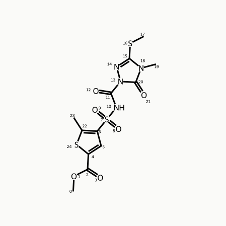 COC(=O)c1cc(S(=O)(=O)NC(=O)n2nc(SC)n(C)c2=O)c(C)s1